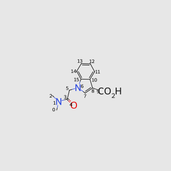 CN(C)C(=O)Cn1cc(C(=O)O)c2ccccc21